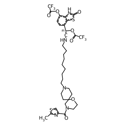 Cc1nc(C(=O)N2CCOC3(CCN(CCCCCCCCCNC[C@H](OC(=O)C(F)(F)F)c4ccc(OC(=O)C(F)(F)F)c5[nH]c(=O)sc45)CC3)C2)cs1